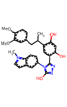 COc1ccc(CC(C)c2cc(-c3nnc(O)n3-c3ccc4c(ccn4C)c3)c(O)cc2O)cc1OC